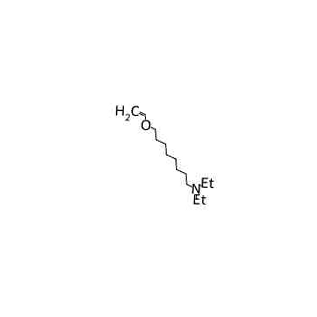 C=COCCCCCCCCN(CC)CC